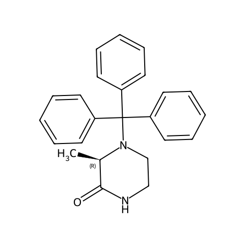 C[C@@H]1C(=O)NCCN1C(c1ccccc1)(c1ccccc1)c1ccccc1